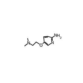 CN(C)CCOc1ccc(N)nc1